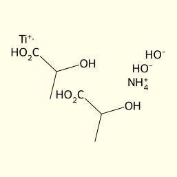 CC(O)C(=O)O.CC(O)C(=O)O.[NH4+].[OH-].[OH-].[Ti+]